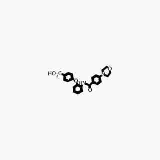 O=C(O)c1ccc(Oc2ccccc2NC(=O)c2ccc(N3CCOCC3)cc2)cc1